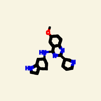 COc1ccc2nc(-c3cccnc3)nc(Nc3ccc4cc[nH]c4c3)c2c1